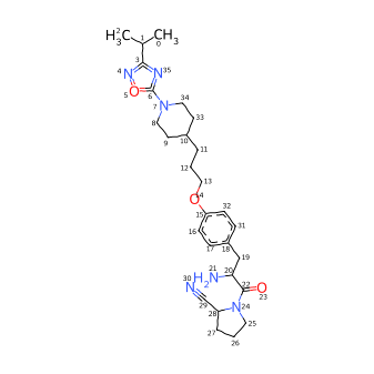 CC(C)c1noc(N2CCC(CCCOc3ccc(CC(N)C(=O)N4CCCC4C#N)cc3)CC2)n1